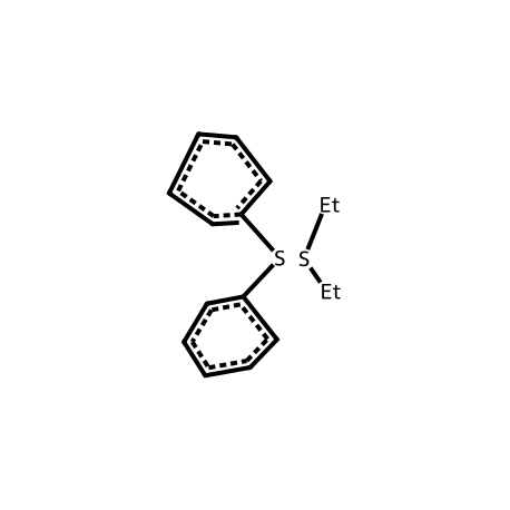 CCSCC.c1ccc(Sc2ccccc2)cc1